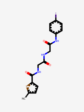 N#Cc1ccc(C(=O)NCC(=O)NCC(=O)Nc2ccc(I)cc2)s1